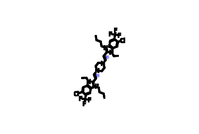 CCCC[n+]1c(/C=C/N2CCN(/C=C/c3n(CC)c4cc(Cl)c(C(F)(F)F)cc4[n+]3CCCC)CC2)n(CC)c2cc(Cl)c(C(F)(F)F)cc21